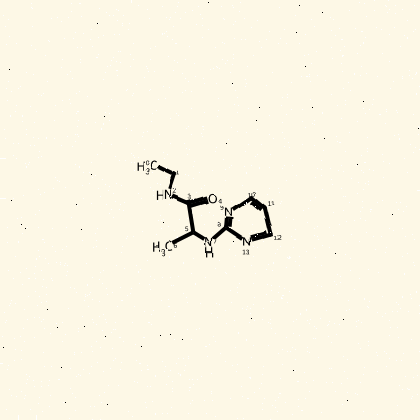 CCNC(=O)C(C)Nc1ncccn1